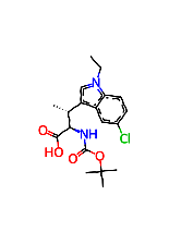 CCn1cc([C@@H](C)[C@@H](NC(=O)OC(C)(C)C)C(=O)O)c2cc(Cl)ccc21